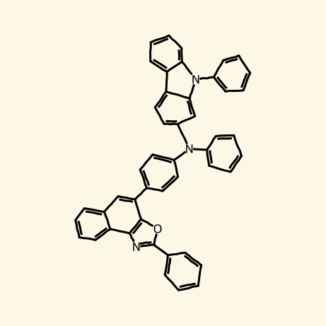 c1ccc(-c2nc3c(o2)c(-c2ccc(N(c4ccccc4)c4ccc5c6ccccc6n(-c6ccccc6)c5c4)cc2)cc2ccccc23)cc1